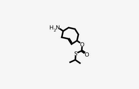 CC(C)SC(=O)OC1/C=C/CC(N)CCC1